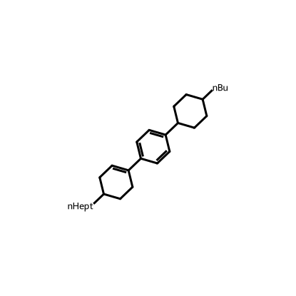 CCCCCCCC1CC=C(c2ccc(C3CCC(CCCC)CC3)cc2)CC1